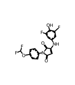 O=C1C=C(Nc2cc(F)c(O)c(F)c2)C(=O)N1c1ccc(OC(F)F)cc1